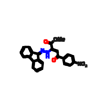 COC(=O)/C(=C/C(=O)c1ccc([N+](=O)[O-])cc1)NN=C1c2ccccc2-c2ccccc21